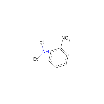 CCNCC.O=[N+]([O-])c1ccccc1